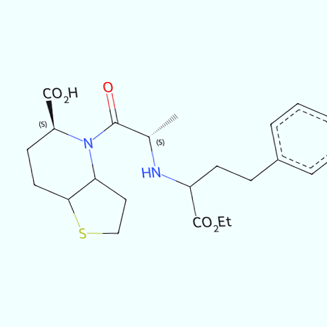 CCOC(=O)C(CCc1ccccc1)N[C@@H](C)C(=O)N1C2CCSC2CC[C@H]1C(=O)O